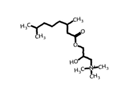 CC(C)CCCC(C)CC(=O)OCC(O)C[N+](C)(C)C